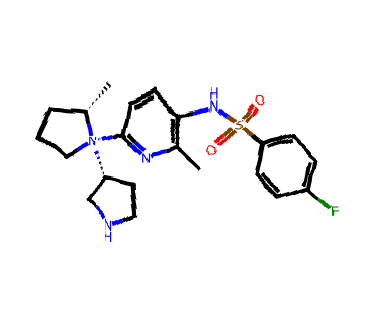 Cc1nc([N+]2([C@@H]3CCNC3)CCC[C@@H]2C)ccc1NS(=O)(=O)c1ccc(F)cc1